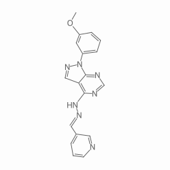 COc1cccc(-n2ncc3c(N/N=C/c4cccnc4)ncnc32)c1